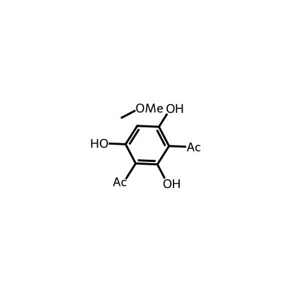 CC(=O)c1c(O)cc(O)c(C(C)=O)c1O.COC